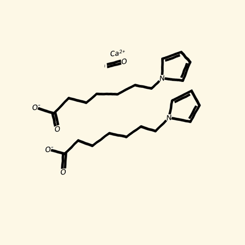 O=C([O-])CCCCCCn1cccc1.O=C([O-])CCCCCCn1cccc1.[C]=O.[Ca+2]